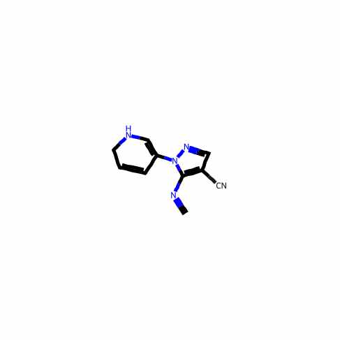 C=Nc1c(C#N)cnn1C1=CNCC=C1